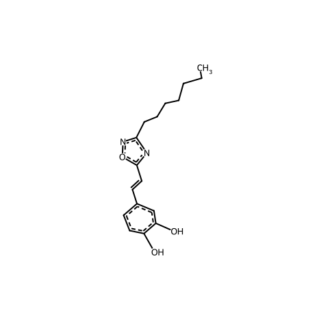 CCCCCCCc1noc(/C=C/c2ccc(O)c(O)c2)n1